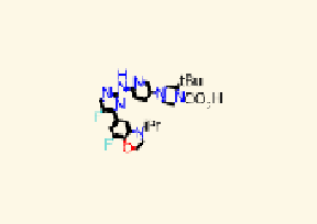 CC(C)N1CCOc2c(F)cc(-c3nc(Nc4ccc(N5CCN(C(=O)O)C(C(C)(C)C)C5)cn4)ncc3F)cc21